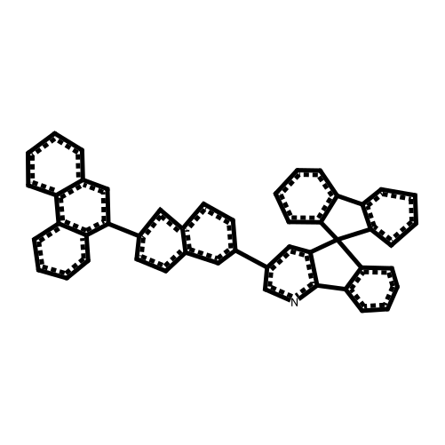 c1ccc2c(c1)-c1ccccc1C21c2ccccc2-c2ncc(-c3ccc4cc(-c5cc6ccccc6c6ccccc56)ccc4c3)cc21